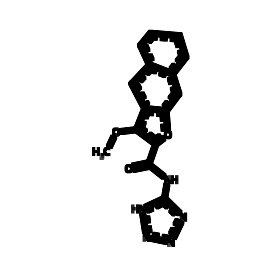 COc1c(C(=O)Nc2nnn[nH]2)oc2cc3ccccc3cc12